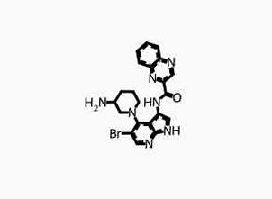 NC1CCCN(c2c(Br)cnc3[nH]cc(NC(=O)c4cnc5ccccc5n4)c23)C1